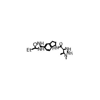 CCC1NC(c2ccc3c(c2)CC[C@H]3NC(=O)C2NNN(C)C2C)NO1